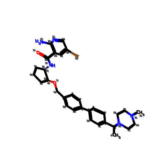 CC(c1ccc(-c2ccc(CO[C@H]3CCC[C@@H]3NC(=O)c3cc(Br)cnc3N)cc2)cc1)N1CCN(C)CC1